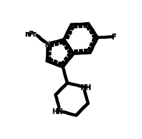 CCCn1cc(C2CNCCN2)c2cc(F)ccc21